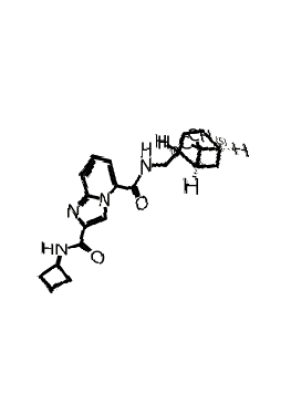 CC1(C)[C@H]2CC[C@@H](CNC(=O)c3cccc4nc(C(=O)NC5CCC5)cn34)[C@@H]1C2